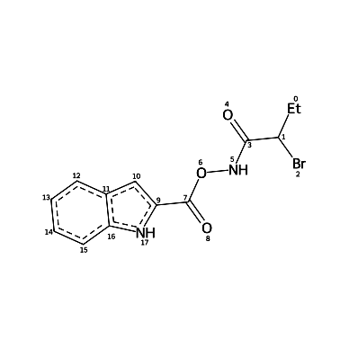 CCC(Br)C(=O)NOC(=O)c1cc2ccccc2[nH]1